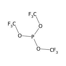 FC(F)(F)OP(OC(F)(F)F)OC(F)(F)F